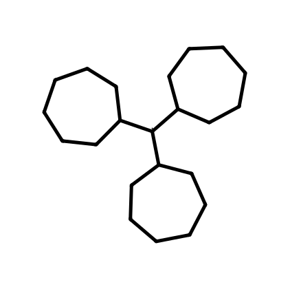 C1CCCC([C](C2CCCCCC2)C2CCCCCC2)CC1